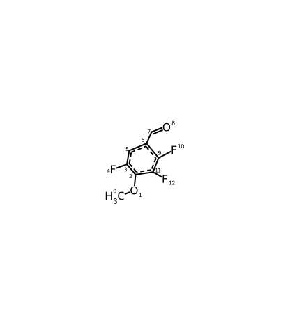 COc1c(F)cc(C=O)c(F)c1F